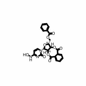 O=C(OC[C@H]1O[C@@H](n2ccc(NO)nc2=O)[C@@H]2OC(=O)c3ccccc3C(=O)O[C@@H]21)c1ccccc1